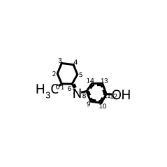 CC1CCCC/C1=N\c1ccc(O)cc1